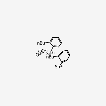 CCCCc1cccc[c]1[Sn+3].CCCCc1cccc[c]1[Sn+3].[O-2].[O-2].[O-2]